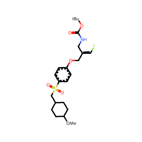 COC1CCC(CS(=O)(=O)c2ccc(OC/C(=C/F)CNC(=O)OC(C)(C)C)cc2)CC1